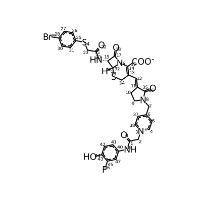 O=C(C[n+]1ccc(CN2CCC(=CC3=C(C(=O)[O-])N4C(=O)[C@@H](NC(=O)CSc5ccc(Br)cc5)[C@H]4SC3)C2=O)cc1)Nc1ccc(O)c(F)c1